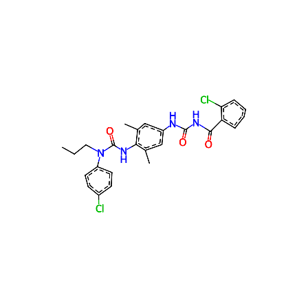 CCCN(C(=O)Nc1c(C)cc(NC(=O)NC(=O)c2ccccc2Cl)cc1C)c1ccc(Cl)cc1